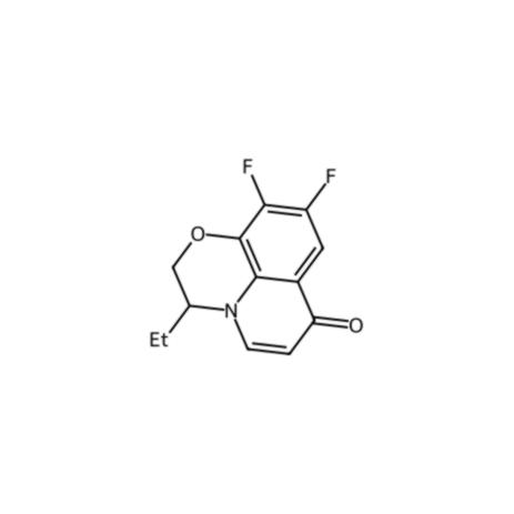 CCC1COc2c(F)c(F)cc3c(=O)ccn1c23